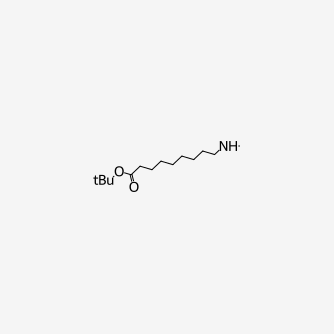 CC(C)(C)OC(=O)CCCCCCCC[NH]